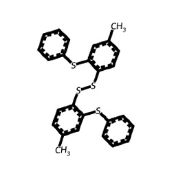 Cc1ccc(SSc2ccc(C)cc2Sc2ccccc2)c(Sc2ccccc2)c1